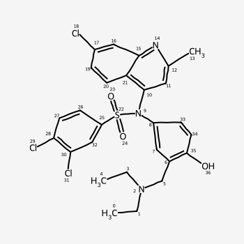 CCN(CC)Cc1cc(N(c2cc(C)nc3cc(Cl)ccc23)S(=O)(=O)c2ccc(Cl)c(Cl)c2)ccc1O